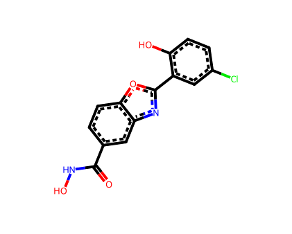 O=C(NO)c1ccc2oc(-c3cc(Cl)ccc3O)nc2c1